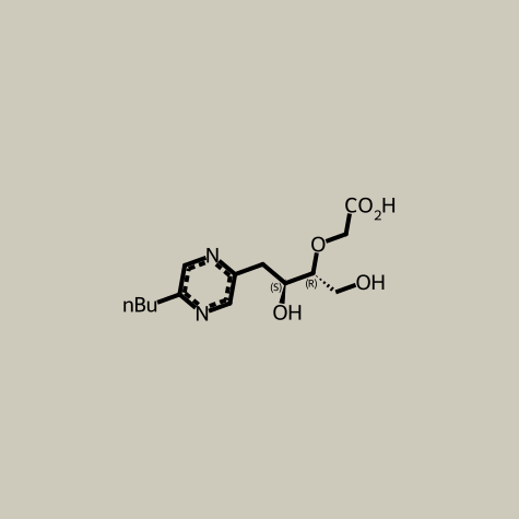 CCCCc1cnc(C[C@H](O)[C@@H](CO)OCC(=O)O)cn1